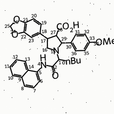 CCCCC(C(=O)Nc1cccc2ccccc12)N1CC(c2ccc3c(c2)OCO3)C(C(=O)O)C1c1ccc(OC)cc1